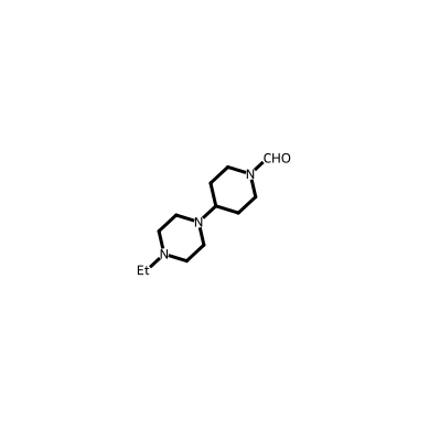 CCN1CCN(C2CCN(C=O)CC2)CC1